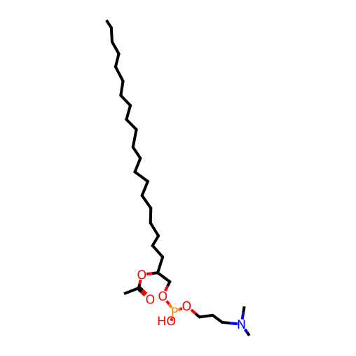 CCCCCCCCCCCCCCCCCCCCC(COP(O)OCCCN(C)C)OC(C)=O